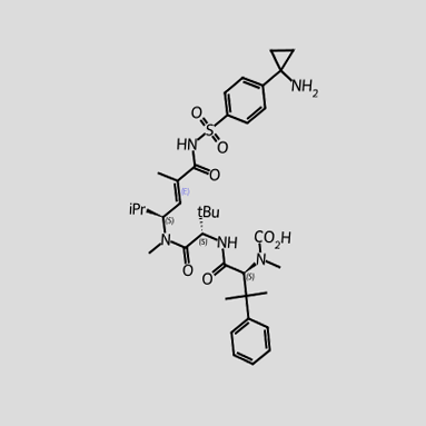 C/C(=C\[C@H](C(C)C)N(C)C(=O)[C@@H](NC(=O)[C@@H](N(C)C(=O)O)C(C)(C)c1ccccc1)C(C)(C)C)C(=O)NS(=O)(=O)c1ccc(C2(N)CC2)cc1